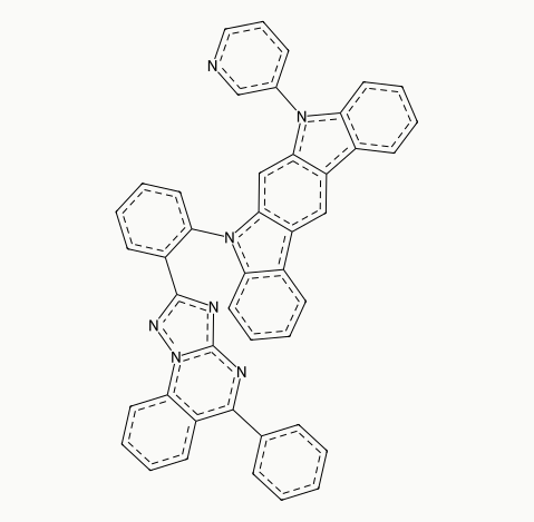 c1ccc(-c2nc3nc(-c4ccccc4-n4c5ccccc5c5cc6c7ccccc7n(-c7cccnc7)c6cc54)nn3c3ccccc23)cc1